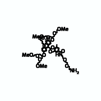 COCCOCC(COCCOC)Oc1ccc2c(c1)c(C(=O)Oc1c(C)cc(C(=O)NCCOCCOCCN)cc1C)c1cc(OC(COCCOC)COCCOC)ccc1[n+]2CCCS(=O)(=O)O